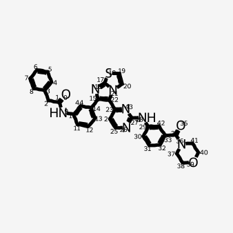 O=C(Cc1ccccc1)Nc1cccc(-c2nc3sccn3c2-c2ccnc(Nc3cccc(C(=O)N4CCOCC4)c3)n2)c1